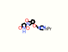 CCCN1CCN(CCOc2cccc3c2CN(C2CCC(=O)NC2=O)C3=O)CC1